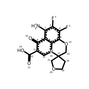 Nc1c(F)c(F)c2c3c1c(=O)c(C(=O)O)cn3C1(CCOC1)CO2